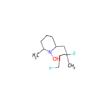 CC1CCCC(CC(C)(F)CCF)N1O